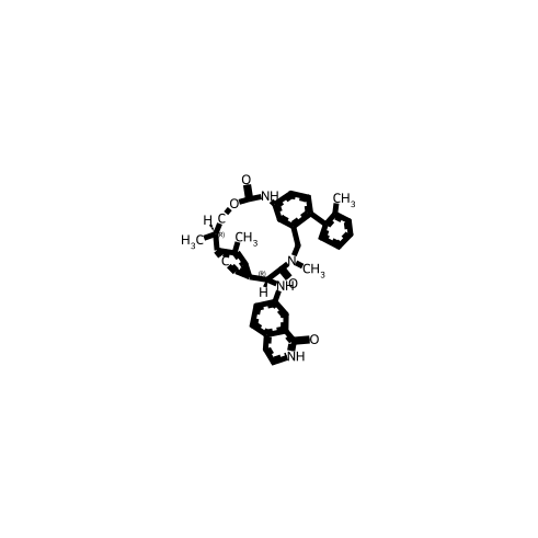 Cc1ccccc1-c1ccc2cc1CN(C)C(=O)[C@H](Nc1ccc3cc[nH]c(=O)c3c1)c1ccc(c(C)c1)[C@@H](C)COC(=O)N2